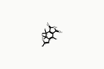 CC1=CC2=C(C)C3=C(C(=O)OC3=O)C(C)(C)C2(C)O1